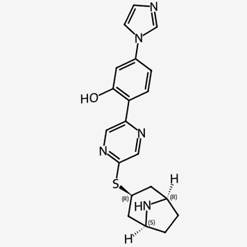 Oc1cc(-n2ccnc2)ccc1-c1cnc(S[C@H]2C[C@H]3CC[C@@H](C2)N3)cn1